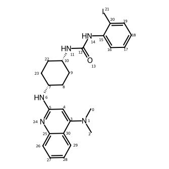 CN(C)c1cc(N[C@H]2CC[C@@H](NC(=O)Nc3ccccc3I)CC2)nc2ccccc12